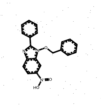 O=[N+](O)c1ccc2nc(-c3ccccc3)n(OCc3ccccc3)c2c1